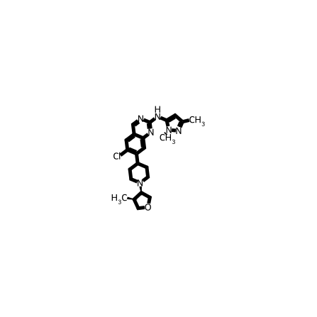 Cc1cc(Nc2ncc3cc(Cl)c(C4CCN([C@H]5COC[C@H]5C)CC4)cc3n2)n(C)n1